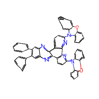 c1ccc(-c2cc3nc4c5ccc(N6c7ccccc7Oc7ccccc76)nc5c5nc(N6c7ccccc7Oc7ccccc76)ccc5c4nc3cc2-c2ccccc2)cc1